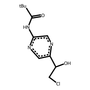 CC(C)(C)C(=O)Nc1cnc(C(O)CCl)cn1